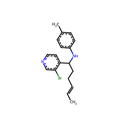 CC=CCCC(Nc1ccc(C)cc1)c1ccncc1Br